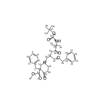 COC(=O)C1(Cc2ccccc2)CN(CC(COCc2ccccc2)CC(=O)C(C)(C)NC(=O)OC(C)(C)C)CCC1=O